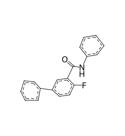 O=C(Nc1ccccc1)c1cc(-c2ccccc2)ccc1F